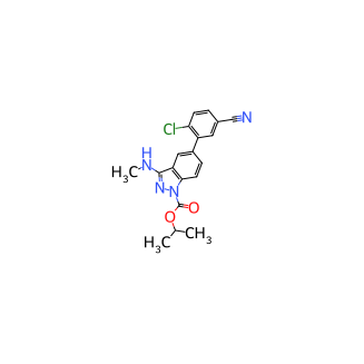 CNc1nn(C(=O)OC(C)C)c2ccc(-c3cc(C#N)ccc3Cl)cc12